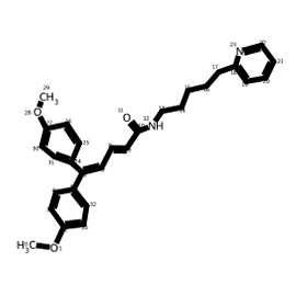 COc1ccc(C(=CC=CC(=O)NCCCCCc2ccccn2)c2ccc(OC)cc2)cc1